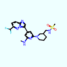 CNc1cc(-c2cnc3ccc(C(F)F)nn23)cc(N2CCCC(CNS(C)(=O)=O)C2)n1